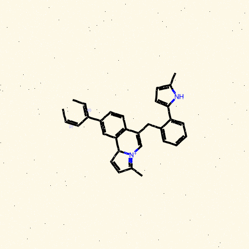 C/C=C\C(=C/C)c1ccc2c(c1)C1C=CC(C)=[N+]1C=C2Cc1ccccc1-c1ccc(C)[nH]1